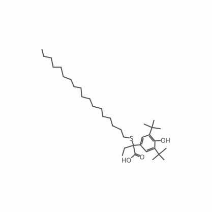 CCCCCCCCCCCCCCCCCCSC(CC)(C(=O)O)c1cc(C(C)(C)C)c(O)c(C(C)(C)C)c1